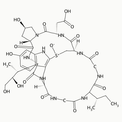 CC[C@H](C)C1NC(=O)CNC(=O)[C@@H]2Cc3c([nH]c4cc(O)ccc34)[S+]([O-])C[C@H](NC(=O)CNC1=O)C(=O)N[C@@H](CC(=O)O)C(=O)N1C[C@H](O)C[C@H]1C(=O)N[C@@H]([C@@H](C)[C@@H](O)CO)C(=O)N2